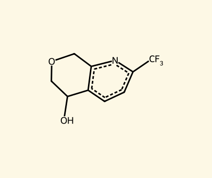 OC1COCc2nc(C(F)(F)F)ccc21